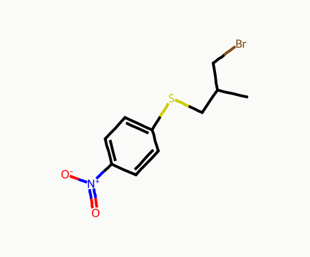 CC(CBr)CSc1ccc([N+](=O)[O-])cc1